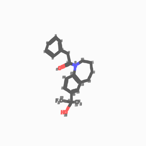 O=C(Cc1ccccc1)N1CCCCc2cc(C(O)(C(F)(F)F)C(F)(F)F)ccc21